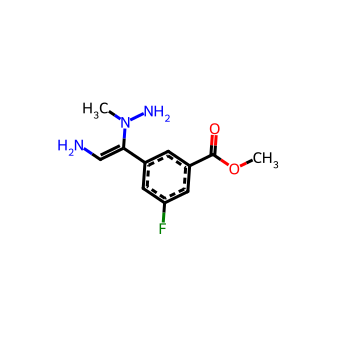 COC(=O)c1cc(F)cc(/C(=C/N)N(C)N)c1